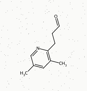 Cc1cnc(CCC=O)c(C)c1